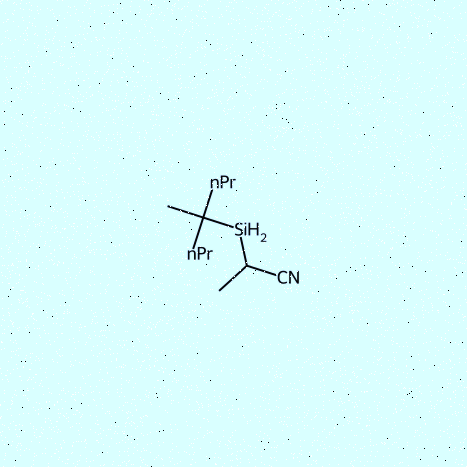 CCCC(C)(CCC)[SiH2]C(C)C#N